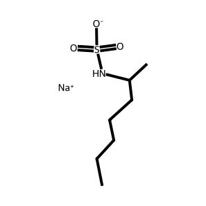 CCCCCC(C)NS(=O)(=O)[O-].[Na+]